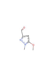 COc1cc(C=O)nn1C